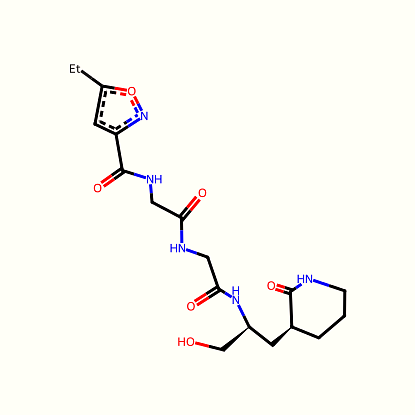 CCc1cc(C(=O)NCC(=O)NCC(=O)N[C@H](CO)C[C@@H]2CCCNC2=O)no1